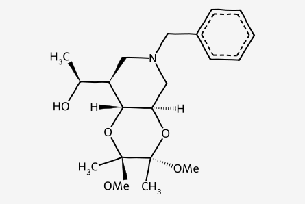 CO[C@@]1(C)O[C@@H]2[C@@H]([C@H](C)O)CN(Cc3ccccc3)C[C@H]2O[C@]1(C)OC